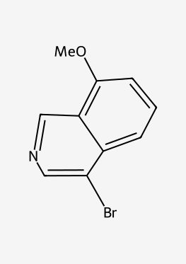 COc1cccc2c(Br)cncc12